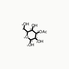 CC(=O)OC1C(O)C(O)OC(CO)C1O